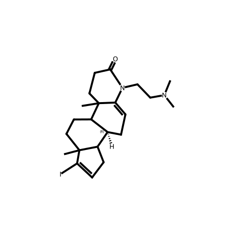 CN(C)CCN1C(=O)CCC2(C)C1=CC[C@H]1C3CC=C(I)C3(C)CCC12